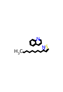 CCCCCCCCc1ccsn1.c1ccc2ncccc2c1